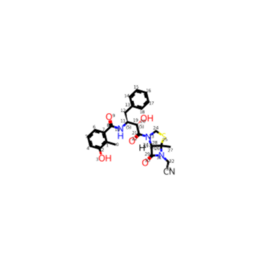 Cc1c(O)cccc1C(=O)N[C@@H](Cc1ccccc1)[C@H](O)C(=O)N1CSC2(C)[C@H]1C(=O)N2CC#N